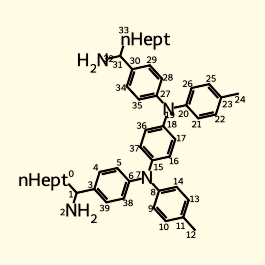 CCCCCCCC(N)c1ccc(N(c2ccc(C)cc2)c2ccc(N(c3ccc(C)cc3)c3ccc(C(N)CCCCCCC)cc3)cc2)cc1